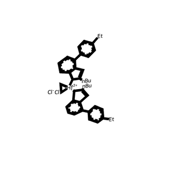 CCCCC1=Cc2c(-c3ccc(CC)cc3)cccc2[CH]1[Hf+2]1([CH]2C(CCCC)=Cc3c(-c4ccc(CC)cc4)cccc32)[CH2][CH2]1.[Cl-].[Cl-]